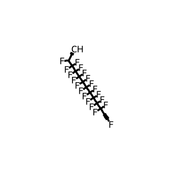 C#CC(F)C(F)(F)C(F)(F)C(F)(F)C(F)(F)C(F)(F)C(F)(F)C(F)(F)C(F)(F)C(F)(F)C#CF